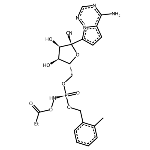 CCC(=O)ON[P@@](=O)(OCc1ccccc1C)OC[C@H]1O[C@@](C#N)(c2ccc3c(N)ncnn23)[C@H](O)[C@@H]1O